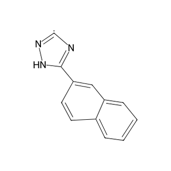 [c]1n[nH]c(-c2ccc3ccccc3c2)n1